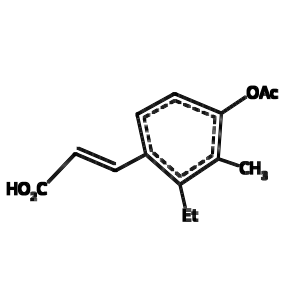 CCc1c(C=CC(=O)O)ccc(OC(C)=O)c1C